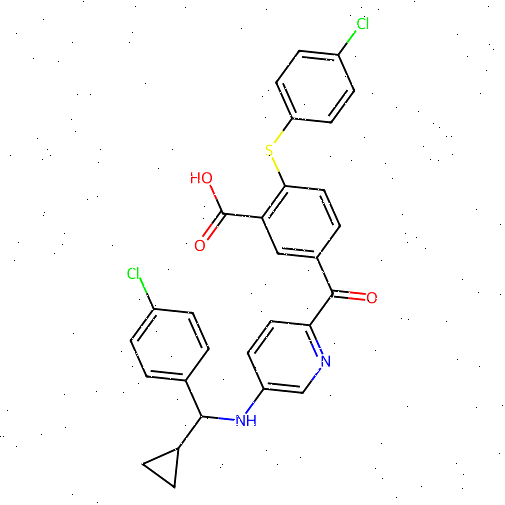 O=C(c1ccc(Sc2ccc(Cl)cc2)c(C(=O)O)c1)c1ccc(NC(c2ccc(Cl)cc2)C2CC2)cn1